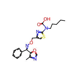 CCCCCN(C(=O)O)c1nc(CON=C(c2ccccc2)c2ocnc2C)cs1